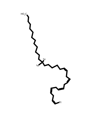 [2H]C([2H])(CCCCC/C=C\C/C=C\C/C=C\C/C=C\C/C=C\CC)CCCCCCCCCCCCC(=O)O